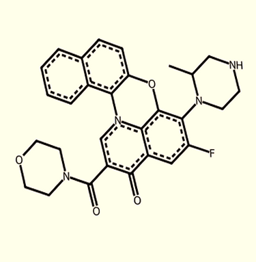 CC1CNCCN1c1c(F)cc2c(=O)c(C(=O)N3CCOCC3)cn3c2c1Oc1ccc2ccccc2c1-3